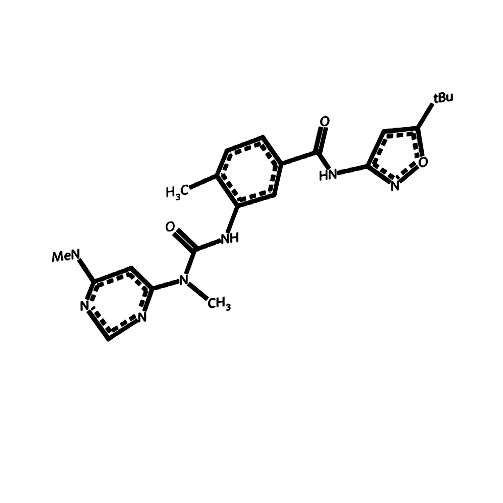 CNc1cc(N(C)C(=O)Nc2cc(C(=O)Nc3cc(C(C)(C)C)on3)ccc2C)ncn1